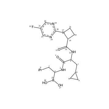 CC(C)CC(NC(=O)C(CC1CC1)NC(=O)C1CCN1c1ncc(F)cn1)B(O)O